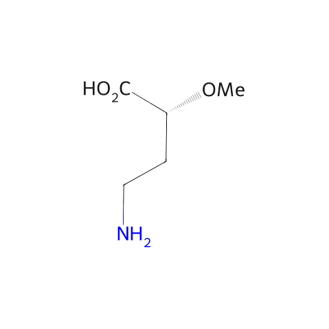 CO[C@H](CCN)C(=O)O